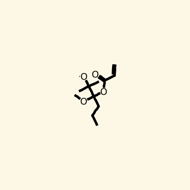 C=CC(=O)OC(CCC)(OC)C(C)(C)[O]